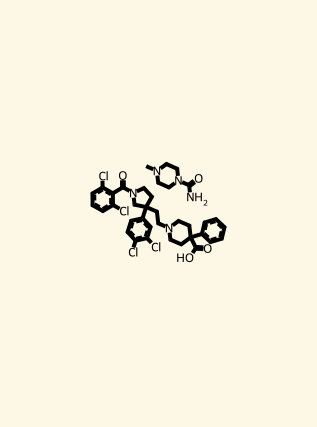 CN1CCN(C(N)=O)CC1.O=C(c1c(Cl)cccc1Cl)N1CCC(CCN2CCC(C(=O)O)(c3ccccc3)CC2)(c2ccc(Cl)c(Cl)c2)C1